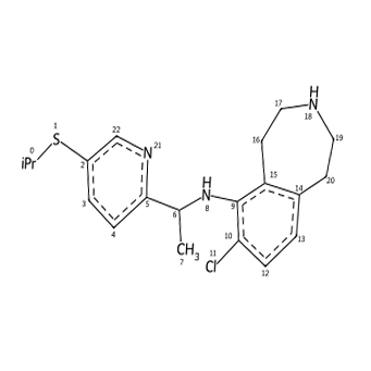 CC(C)Sc1ccc(C(C)Nc2c(Cl)ccc3c2CCNCC3)nc1